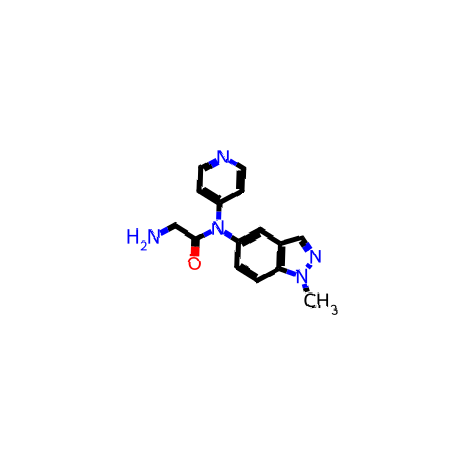 Cn1ncc2cc(N(C(=O)CN)c3ccncc3)ccc21